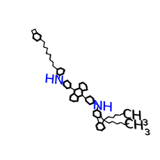 CCCCCCC1(CCCCCC)c2ccccc2-c2ccc(Nc3ccc(-c4c5ccccc5c(-c5ccc(Nc6cccc(CCCCCCCCc7ccc8c(c7)CC8)c6)cc5)c5ccccc45)cc3)cc21